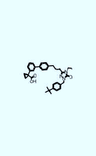 CCn1c(CCCc2ccc(-c3cccc(C4(C(=O)O)CC4)c3)cc2)nn(Cc2ccc(C(C)(C)C)cc2)c1=O